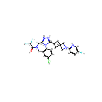 O=C(C(F)F)N1Cc2cc(Cl)ccc2-n2c(nnc2C2CC3(C2)CN(c2ccc(F)cn2)C3)C1